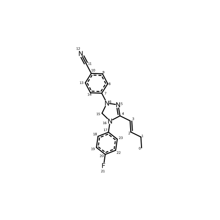 CCC=CC1=NN(c2ccc(C#N)cc2)CN1c1ccc(F)cc1